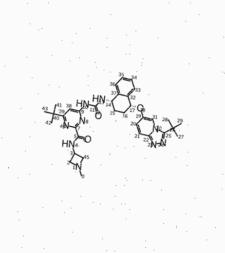 CN1CC(NC(=O)c2nc(NC(=O)N[C@H]3CC[C@@H](Oc4ccc5nnc(C(C)(C)C)n5c4)c4ccccc43)cc(C(C)(C)C)n2)C1